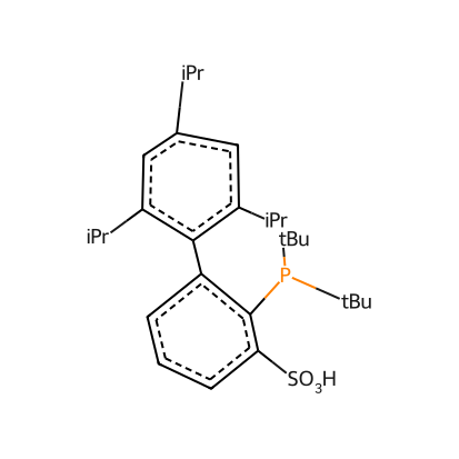 CC(C)c1cc(C(C)C)c(-c2cccc(S(=O)(=O)O)c2P(C(C)(C)C)C(C)(C)C)c(C(C)C)c1